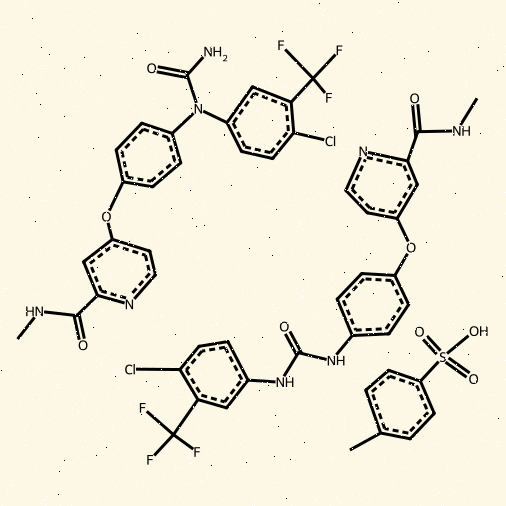 CNC(=O)c1cc(Oc2ccc(N(C(N)=O)c3ccc(Cl)c(C(F)(F)F)c3)cc2)ccn1.CNC(=O)c1cc(Oc2ccc(NC(=O)Nc3ccc(Cl)c(C(F)(F)F)c3)cc2)ccn1.Cc1ccc(S(=O)(=O)O)cc1